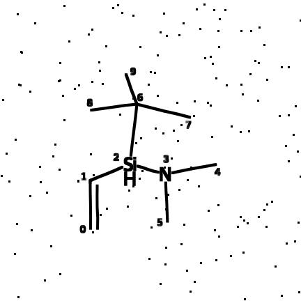 C=C[SiH](N(C)C)C(C)(C)C